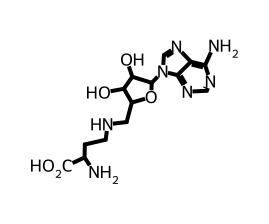 Nc1ncnc2c1ncn2C1OC(CNCCC(N)C(=O)O)C(O)C1O